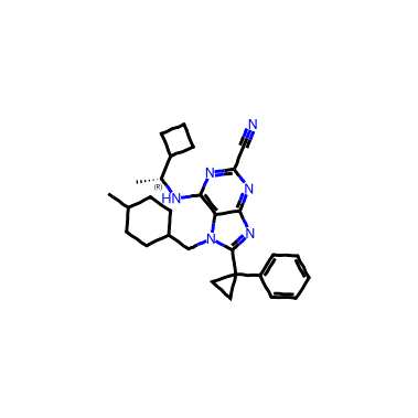 CC1CCC(Cn2c(C3(c4ccccc4)CC3)nc3nc(C#N)nc(N[C@H](C)C4CCC4)c32)CC1